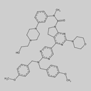 COc1ccc(CN(Cc2ccc(OC)cc2)c2ncc(-c3nc(N4CCOCC4)nc4c3CCN4C(=O)N(C)c3cccc(N4CCN(CCO)CC4)c3)cn2)cc1